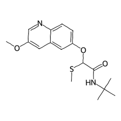 COc1cnc2ccc(OC(SC)C(=O)NC(C)(C)C)cc2c1